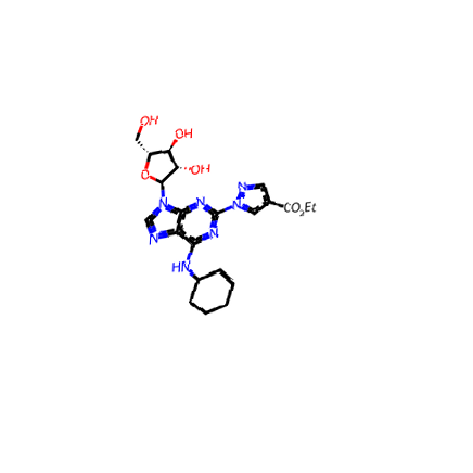 CCOC(=O)c1cnn(-c2nc(NC3CCCCC3)c3ncn(C4O[C@H](CO)[C@@H](O)[C@@H]4O)c3n2)c1